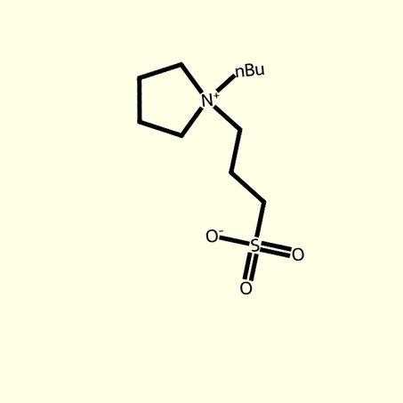 CCCC[N+]1(CCCS(=O)(=O)[O-])CCCC1